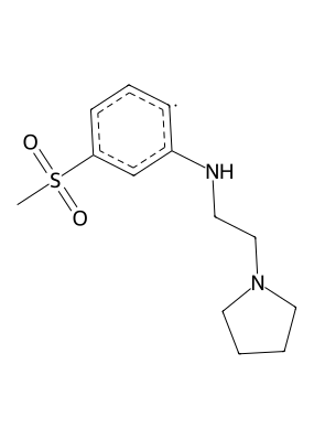 CS(=O)(=O)c1cc[c]c(NCCN2CCCC2)c1